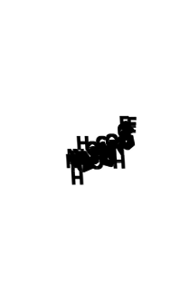 Cc1c(C(=O)C(=O)NC2(c3nnn[nH]3)CC2)c2n(c1C(=O)Nc1cccc(OC(F)(F)F)c1)CCC2